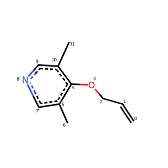 C=CCOc1c(C)[c]ncc1C